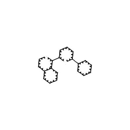 c1ccc(-c2cccc(-c3nccc4ccccc34)n2)cc1